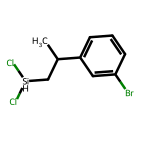 CC(C[SiH](Cl)Cl)c1cccc(Br)c1